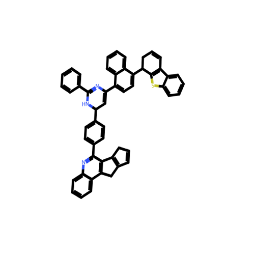 C1=CC2=C(C1)c1c(-c3ccc(C4C=C(c5ccc(C6CC=Cc7c6sc6ccccc76)c6ccccc56)N=C(c5ccccc5)N4)cc3)nc3ccccc3c1C2